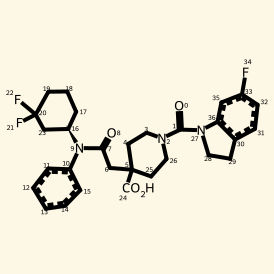 O=C(N1CCC(CC(=O)N(c2ccccc2)[C@@H]2CCCC(F)(F)C2)(C(=O)O)CC1)N1CCc2ccc(F)cc21